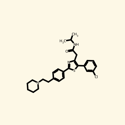 CC(C)NC(=O)Cc1nc(-c2ccc(CCN3CCCCC3)cc2)sc1-c1cccc(Cl)c1